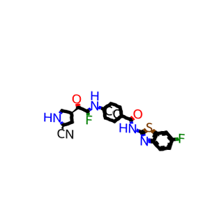 N#C[C@@H]1C[C@H](C(=O)C(F)NC23CCC(C(=O)Nc4nc5ccc(F)cc5s4)(CC2)CC3)CN1